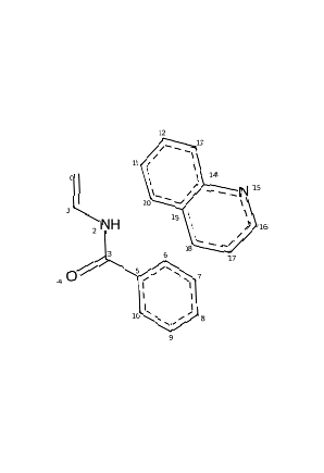 C=CNC(=O)c1ccccc1.c1ccc2ncccc2c1